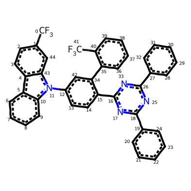 FC(F)(F)c1ccc2c3ccccc3n(-c3ccc(-c4nc(-c5ccccc5)nc(-c5ccccc5)n4)c(-c4ccccc4C(F)(F)F)c3)c2c1